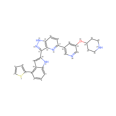 c1csc(-c2cccc3[nH]c(-c4n[nH]c5ccc(-c6cncc(OC7CCNCC7)c6)nc45)cc23)c1